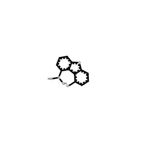 OB(O)c1cccc2oc3cccc(Cl)c3c12